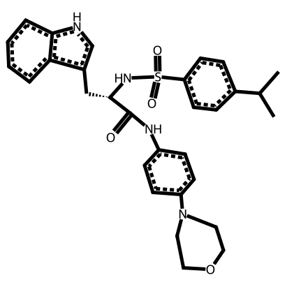 CC(C)c1ccc(S(=O)(=O)N[C@@H](Cc2c[nH]c3ccccc23)C(=O)Nc2ccc(N3CCOCC3)cc2)cc1